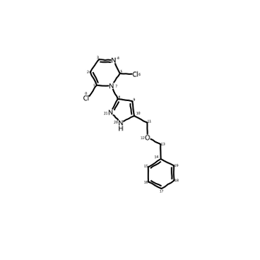 ClC1=CC=NC(Cl)N1c1cc(COCc2ccccc2)[nH]n1